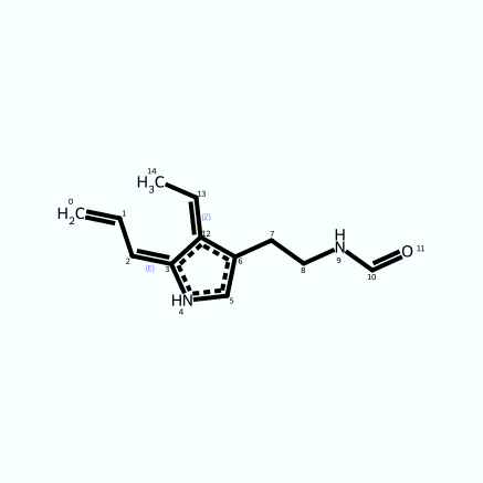 C=C/C=c1/[nH]cc(CCNC=O)/c1=C/C